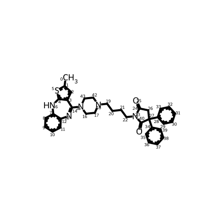 Cc1cc2c(s1)Nc1ccccc1N=C2N1CCN(CCCCN2C(=O)CC(c3ccccc3)(c3ccccc3)C2=O)CC1